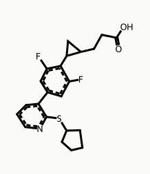 O=C(O)CCC1CC1c1c(F)cc(-c2cccnc2SC2CCCC2)cc1F